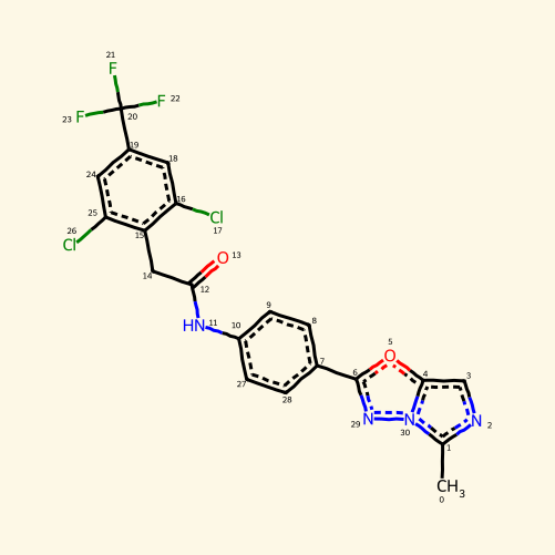 Cc1ncc2oc(-c3ccc(NC(=O)Cc4c(Cl)cc(C(F)(F)F)cc4Cl)cc3)nn12